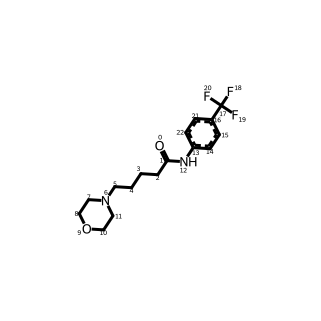 O=C(CCCCN1CCOCC1)Nc1ccc(C(F)(F)F)cc1